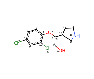 OC[C@H](Oc1ccc(Cl)cc1Cl)C1CCNC1